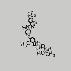 Cc1c(CN2CCC(Nc3ncnc4sc(CC(F)(F)F)cc34)CC2)ccc2c1cc(C#N)n2C[C@H]1C[C@@H](NC(C)O)C1